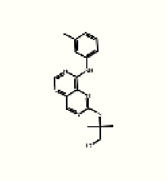 Cc1cccc(Nc2ncnc3cnc(NC(C)(C)CO)nc23)c1